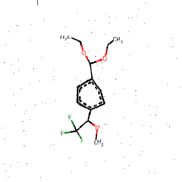 CCOC(OCC)c1ccc(C(OC)C(F)(F)F)cc1